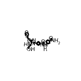 NC(=O)c1ccc(NC(=O)Nc2ccc(-c3ncc(OCCN4CCOCC4)c(NCCO)n3)cc2)cc1